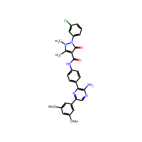 COc1cc(OC)cc(-c2cnc(N)c(-c3ccc(NC(=O)c4c(C)n(C)n(-c5cccc(Cl)c5)c4=O)cc3)n2)c1